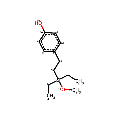 CC[Si](CC)(CCc1ccc(O)cc1)OC